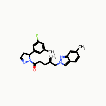 C=C(CCC(=O)N1N=CCC1c1cc(C)cc(F)c1)Cn1cc2ccc(C)cc2n1